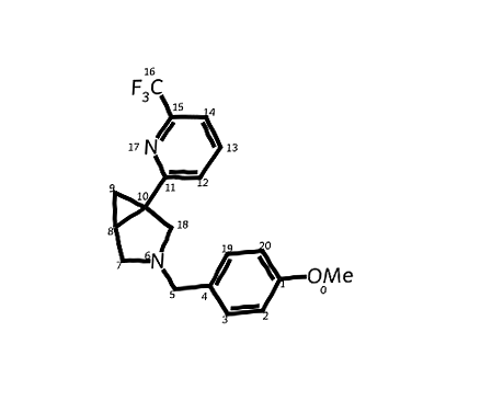 COc1ccc(CN2CC3CC3(c3cccc(C(F)(F)F)n3)C2)cc1